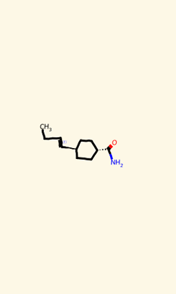 CC/C=C/[C@H]1CC[C@H](C(N)=O)CC1